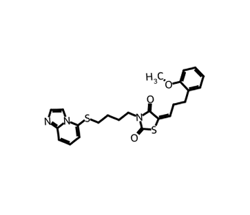 COc1ccccc1CC/C=C1/SC(=O)N(CCCCSc2cccc3nccn23)C1=O